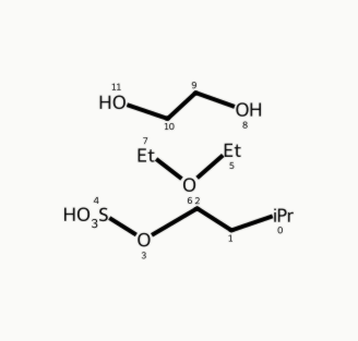 CC(C)CCOS(=O)(=O)O.CCOCC.OCCO